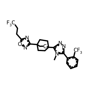 Cn1c(-c2ccccc2C(F)(F)F)nnc1C12CCC(c3noc(CCC(F)(F)F)n3)(CC1)CC2